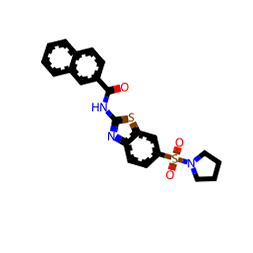 O=C(Nc1nc2ccc(S(=O)(=O)N3CCCC3)cc2s1)c1ccc2ccccc2c1